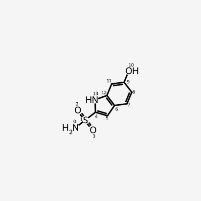 NS(=O)(=O)c1cc2ccc(O)cc2[nH]1